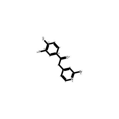 O=C(Cc1ccnc(Br)c1)c1ccc(F)c(F)c1